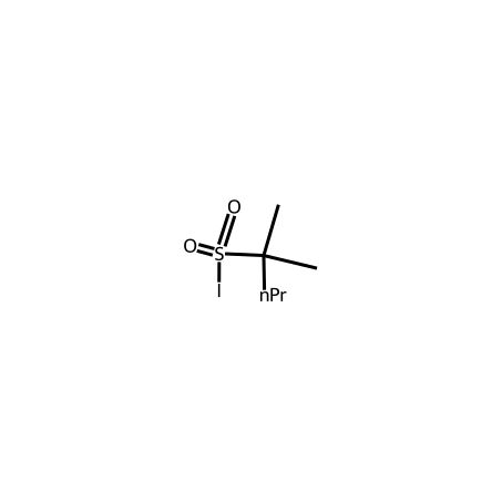 CCCC(C)(C)S(=O)(=O)I